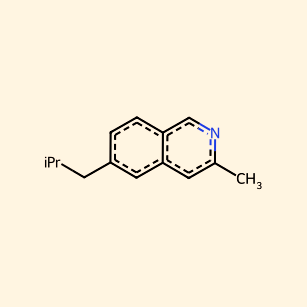 Cc1cc2cc(CC(C)C)ccc2cn1